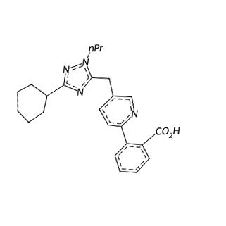 CCCn1nc(C2CCCCC2)nc1Cc1ccc(-c2ccccc2C(=O)O)nc1